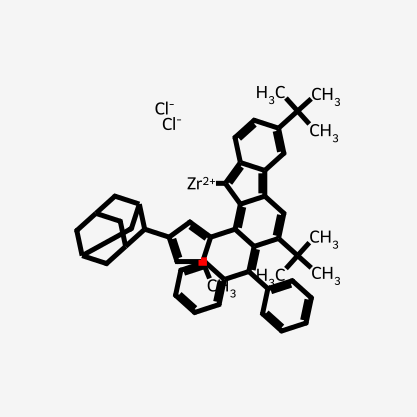 CC1C=C(C2C3CC4CC(C3)CC2C4)C=C1c1c2c(cc(C(C)(C)C)c1=C(c1ccccc1)c1ccccc1)=c1cc(C(C)(C)C)ccc1=[C]2[Zr+2].[Cl-].[Cl-]